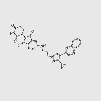 O=C1CCC(N2C(=O)c3ccc(NCCCn4cc(-c5cnc6ccccc6n5)c(C5CC5)n4)cc3C2=O)C(=O)N1